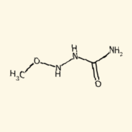 CONNC(N)=O